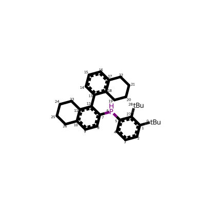 CC(C)(C)c1cccc(Pc2ccc3c(c2-c2cccc4c2CCCC4)CCCC3)c1C(C)(C)C